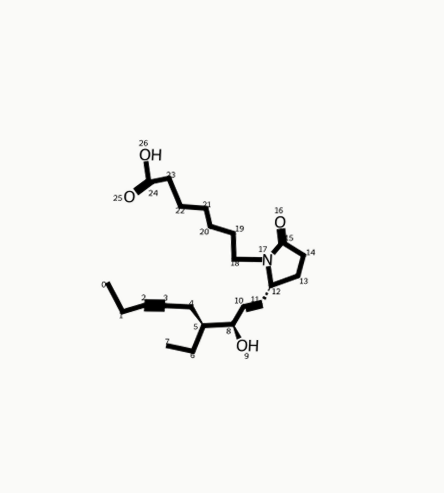 CCC#CC[C@H](CC)[C@H](O)C=C[C@H]1CCC(=O)N1CCCCCCC(=O)O